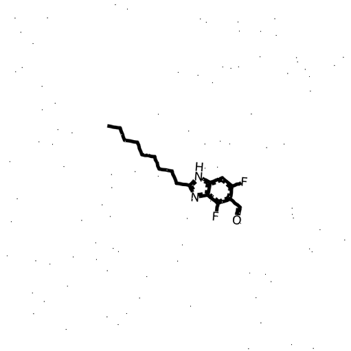 CCCCCCCCCc1nc2c(F)c(C=O)c(F)cc2[nH]1